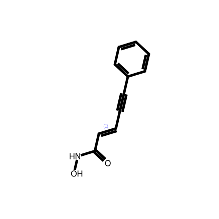 O=C(/C=C/C#Cc1ccccc1)NO